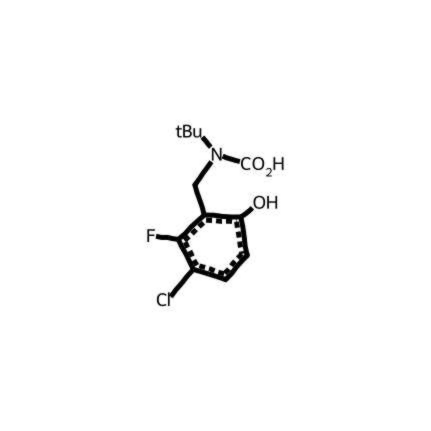 CC(C)(C)N(Cc1c(O)ccc(Cl)c1F)C(=O)O